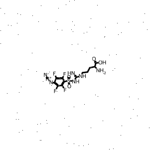 [N-]=[N+]=Nc1c(F)c(F)c(S(=O)(=O)NC(=N)NCCCC(N)C(=O)O)c(F)c1F